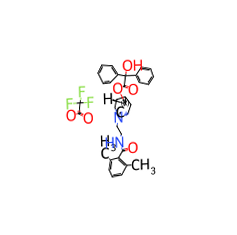 Cc1cccc(C)c1C(=O)NCC[N+]12CCC(CC1)[C@@H](OC(=O)C(O)(c1ccccc1)c1ccccc1)C2.O=C([O-])C(F)(F)F